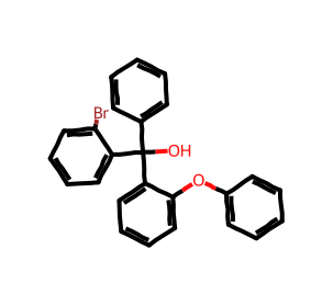 OC(c1ccccc1)(c1ccccc1Br)c1ccccc1Oc1ccccc1